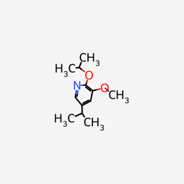 COc1cc(C(C)C)cnc1OC(C)C